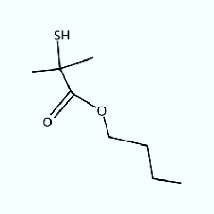 CCCCOC(=O)C(C)(C)S